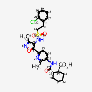 Cc1nc(-c2onc(C)c2NS(=O)(=O)CCc2ccccc2Cl)ccc1NC(=O)[C@H]1CCCC[C@@H]1C(=O)O